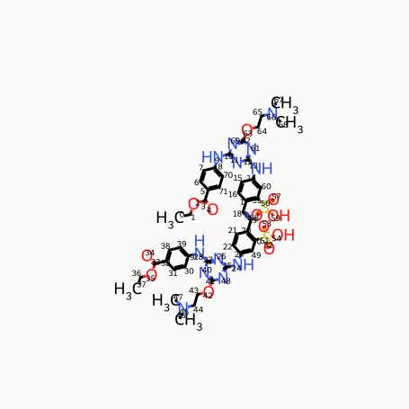 CCOC(=O)c1ccc(Nc2nc(Nc3ccc(/C=C/c4ccc(Nc5nc(Nc6ccc(C(=O)OCC)cc6)nc(OCCN(C)C)n5)cc4S(=O)(=O)O)c(S(=O)(=O)O)c3)nc(OCCN(C)C)n2)cc1